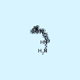 NCCCCCNC(=O)COc1ccc(C2=N/C(=C\c3ccc(-c4cccs4)n3B(F)F)C=C2)cc1